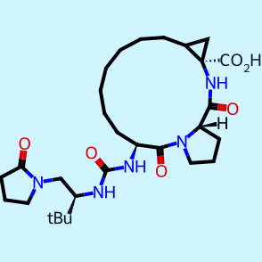 CC(C)(C)[C@@H](CN1CCCC1=O)NC(=O)N[C@H]1CCCCCCCC2C[C@@]2(C(=O)O)NC(=O)[C@@H]2CCCN2C1=O